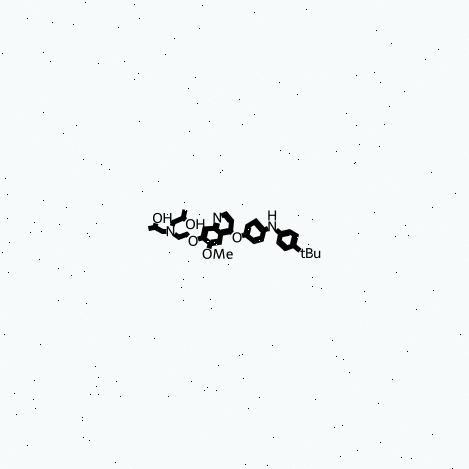 COc1cc2c(Oc3ccc(Nc4ccc(C(C)(C)C)cc4)cc3)ccnc2cc1OCCN(CC(C)O)CC(C)O